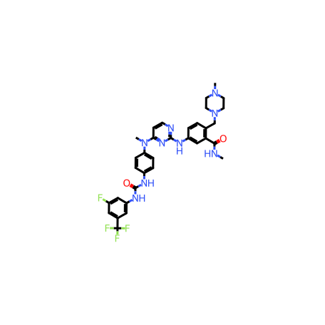 CNC(=O)c1cc(Nc2nccc(N(C)c3ccc(NC(=O)Nc4cc(F)cc(C(F)(F)F)c4)cc3)n2)ccc1CN1CCN(C)CC1